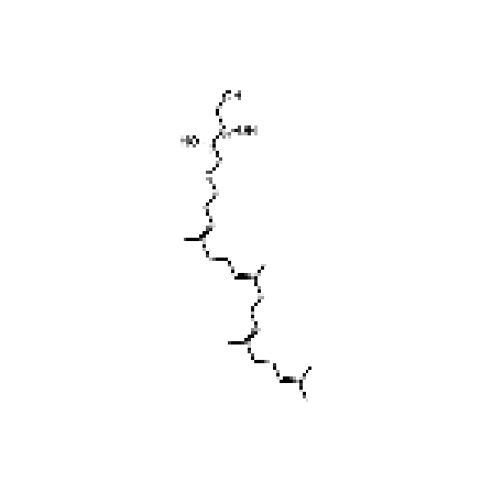 CC(C)=CCCC(C)=CCCC(C)=CCCC(C)=CCCOC[C@H](O)[C@H](O)CO